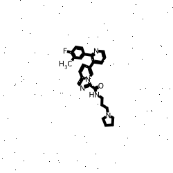 Cc1cc(-c2ncccc2-c2ccc3cnc(C(=O)NCCCN4CCCC4)n3c2)ccc1F